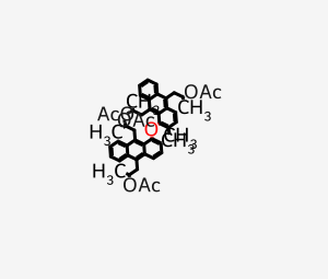 CC(=O)OC(C)Cc1c2ccccc2c(CC(C)OC(C)=O)c2c(Oc3c(C)ccc4c(CC(C)OC(C)=O)c5ccccc5c(CC(C)OC(C)=O)c34)c(C)ccc12